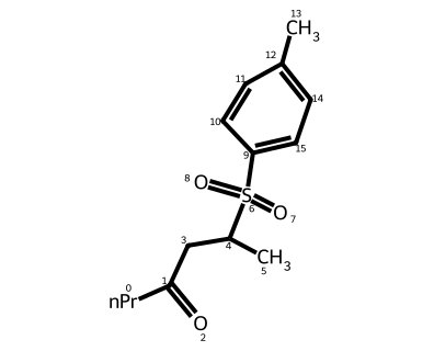 CCCC(=O)CC(C)S(=O)(=O)c1ccc(C)cc1